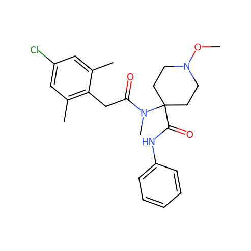 CON1CCC(C(=O)Nc2ccccc2)(N(C)C(=O)Cc2c(C)cc(Cl)cc2C)CC1